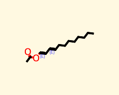 CCCCCCCC/C=C/C=C/OC(C)=O